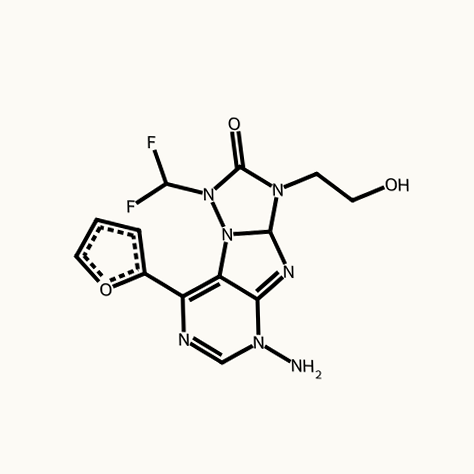 NN1C=NC(c2ccco2)=C2C1=NC1N(CCO)C(=O)N(C(F)F)N21